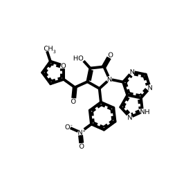 Cc1ccc(C(=O)C2=C(O)C(=O)N(c3ncnc4[nH]ncc34)C2c2cccc([N+](=O)[O-])c2)o1